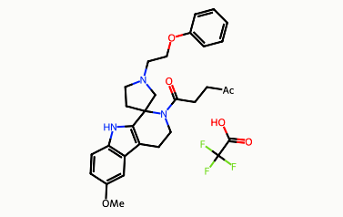 COc1ccc2[nH]c3c(c2c1)CCN(C(=O)CCC(C)=O)C31CCN(CCOc2ccccc2)C1.O=C(O)C(F)(F)F